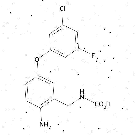 Nc1ccc(Oc2cc(F)cc(Cl)c2)cc1CNC(=O)O